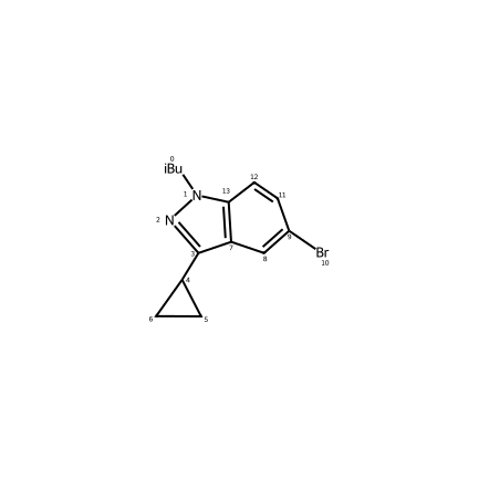 CCC(C)n1nc(C2CC2)c2cc(Br)ccc21